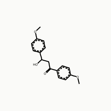 COc1ccc(C(=O)CC(O)c2ccc(OC)cc2)cc1